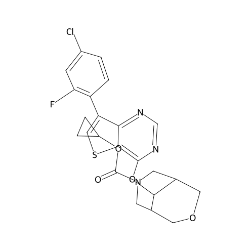 O=C(OC1CC1)N1CC2COCC(C1)C2Oc1ncnc2c(-c3ccc(Cl)cc3F)csc12